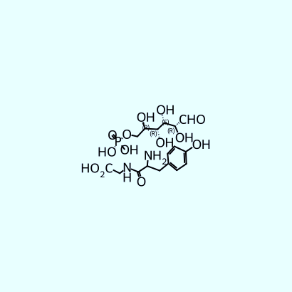 NC(Cc1ccc(O)cc1)C(=O)NCC(=O)O.O=C[C@H](O)[C@@H](O)[C@H](O)[C@H](O)COP(=O)(O)O